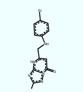 CCc1ccc(NCc2cc(=O)n3nc(C)nc3[nH]2)cc1